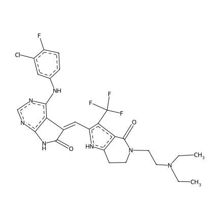 CCN(CC)CCN1CCc2[nH]c(C=C3C(=O)Nc4ncnc(Nc5ccc(F)c(Cl)c5)c43)c(C(F)(F)F)c2C1=O